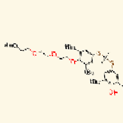 COCCOCCOCCOc1c(C(C)(C)C)cc(SC(C)(C)Sc2cc(C(C)(C)C)c(O)c(C(C)(C)C)c2)cc1C(C)(C)C